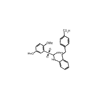 CCCCCCC(Nc1ccccc1CCc1ccc(C(=O)O)cc1)S(=O)(=O)c1cc(OC)ccc1OC